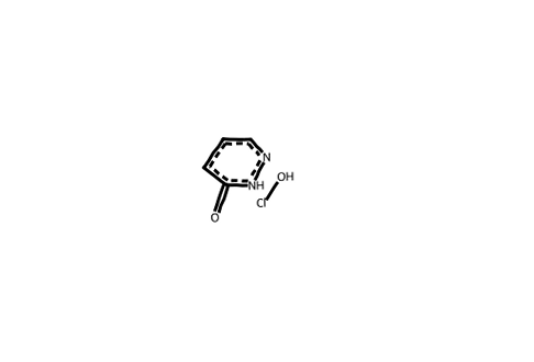 O=c1cccn[nH]1.OCl